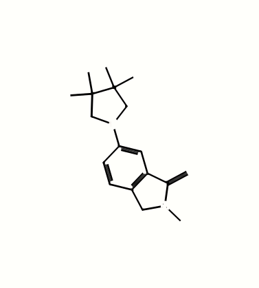 C=C1c2cc(B3CC(C)(C)C(C)(C)C3)ccc2CN1C